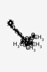 CC(=O)NC1C(OCCOCCOCCOCc2ccccc2)OC(COC(C)=O)C(OC(C)=O)C1OC(C)=O